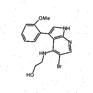 COc1ccccc1-c1c[nH]c2ncc(Br)c(NCCO)c12